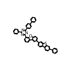 c1ccc(-c2ccc(-c3nc(-c4ccccc4)nc(-c4cccc5c4oc4ccc(-c6ccc7c(c6)sc6cc(-c8ccccc8)ccc67)cc45)n3)cc2)cc1